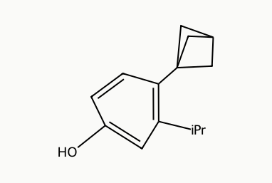 CC(C)c1cc(O)ccc1C12CC(C1)C2